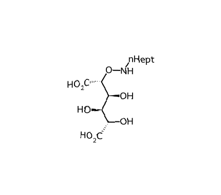 CCCCCCCNO[C@@H](C(=O)O)[C@@H](O)[C@H](O)[C@H](O)C(=O)O